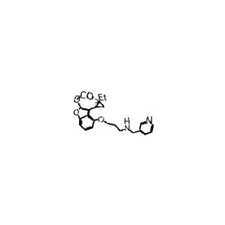 CCOC(=O)Oc1oc2cccc(OCCCNCc3cccnc3)c2c1C1CC1